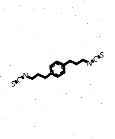 S=C=NCCCc1ccc(CCCN=C=S)cc1